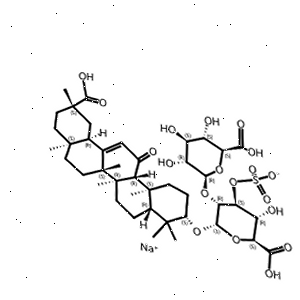 CC1(C)[C@@H](O[C@H]2O[C@H](C(=O)O)[C@@H](O)[C@H](OS(=O)(=O)[O-])[C@H]2O[C@@H]2O[C@H](C(=O)O)[C@@H](O)[C@H](O)[C@H]2O)CC[C@]2(C)[C@H]3C(=O)C=C4[C@@H]5C[C@@](C)(C(=O)O)CC[C@]5(C)CC[C@@]4(C)[C@]3(C)CC[C@@H]12.[Na+]